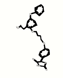 CCCc1cc(Oc2ccccc2)ccc1OCCCCOc1ccc(C2SC(=O)NC2=O)cc1